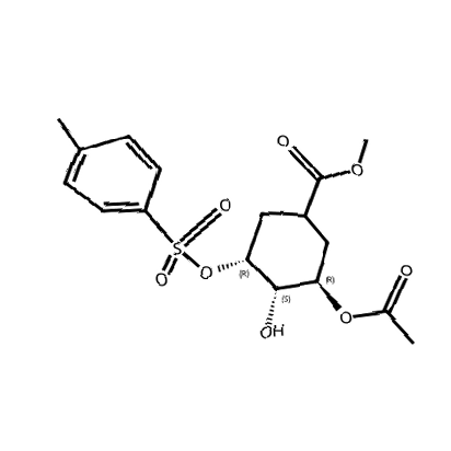 COC(=O)C1C[C@@H](OC(C)=O)[C@H](O)[C@H](OS(=O)(=O)c2ccc(C)cc2)C1